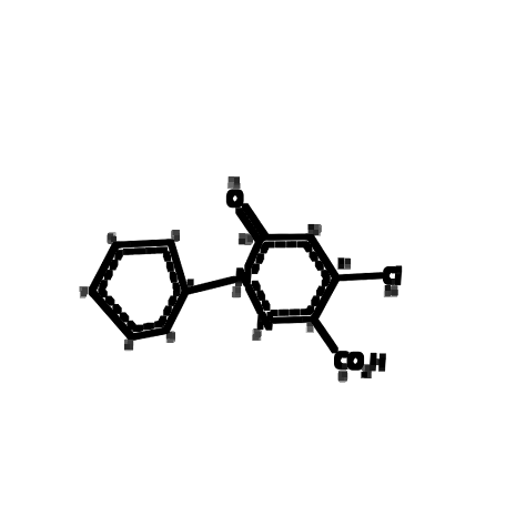 O=C(O)c1nn(-c2ccccc2)c(=O)cc1Cl